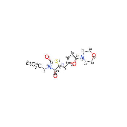 CCOC(=O)CN1C(=O)S/C(=C\c2ccc(N3CCOCC3)o2)C1=O